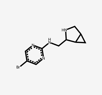 Brc1cnc(NCC2NCC3CC32)nc1